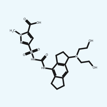 Cn1nc(S(=O)(=O)NC(=O)Nc2c3c(cc4c2CCC4N(CCO)CCO)CCC3)cc1C(=O)O